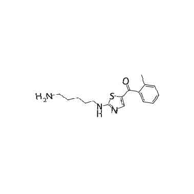 Cc1ccccc1C(=O)c1cnc(NCCCCCN)s1